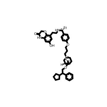 CC[C@@H](NCCc1cc(O)cc2c1OCC(=O)N2)c1ccc(OCCC[N+]23CCC(CC2)[C@H](OCC(c2ccccc2)C2CCCC2)C3)cc1